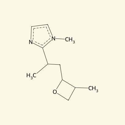 CC(CC1OCC1C)c1nccn1C